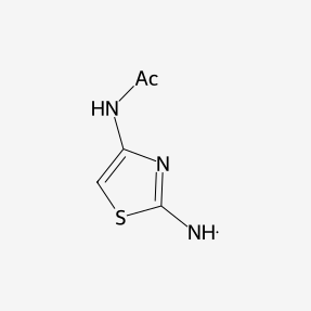 CC(=O)Nc1csc([NH])n1